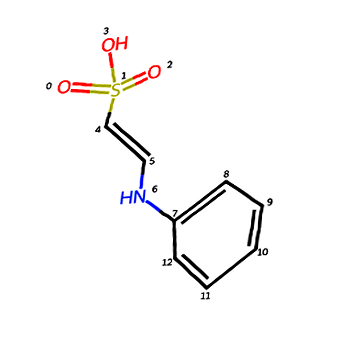 O=S(=O)(O)C=CNc1ccccc1